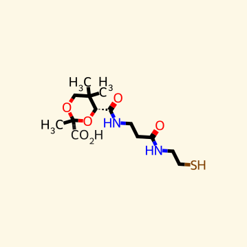 CC1(C(=O)O)OCC(C)(C)[C@H](C(=O)NCCC(=O)NCCS)O1